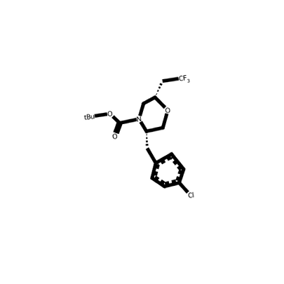 CC(C)(C)OC(=O)N1C[C@H](CC(F)(F)F)OC[C@@H]1Cc1ccc(Cl)cc1